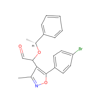 Cc1noc(-c2ccc(Br)cc2)c1C(C=O)O[C@H](C)c1ccccc1